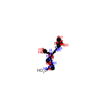 O=C(O)CNC(=O)CNC(=O)[C@H](Cc1ccccc1)NC(=O)CNC(=O)[C@H](Cc1ccc(O)cc1)NC(=O)[C@H](CCCCNC(=S)Nc1ccc2c(c1)C(=O)OC21c2ccc(O)cc2Oc2cc(O)ccc21)NC(=O)CCc1ccc(O)c(O)c1